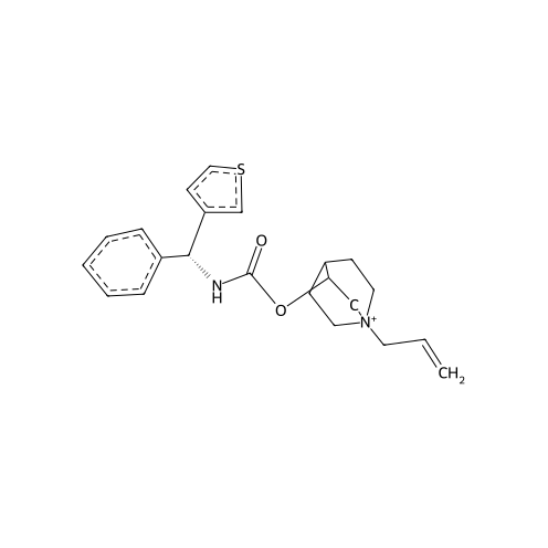 C=CC[N+]12CCC(CC1)C(OC(=O)N[C@H](c1ccccc1)c1ccsc1)C2